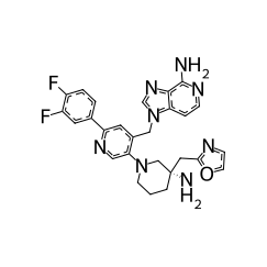 Nc1nccc2c1ncn2Cc1cc(-c2ccc(F)c(F)c2)ncc1N1CCC[C@](N)(Cc2ncco2)C1